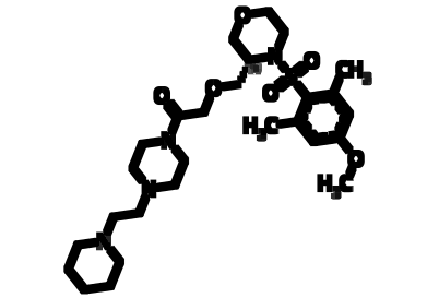 COc1cc(C)c(S(=O)(=O)N2CCOC[C@H]2COCC(=O)N2CCN(CCN3CCCCC3)CC2)c(C)c1